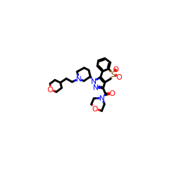 O=C(c1nn(C2CCCN(CCC3CCOCC3)C2)c2c1CS(=O)(=O)c1ccccc1-2)N1CCOCC1